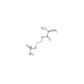 C=C(C)C(=O)OCCO[PH](C)=O